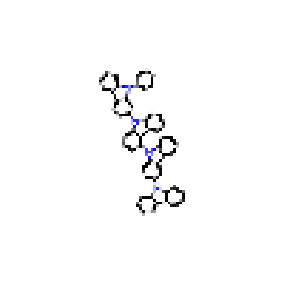 C1=CC2c3ccccc3N(c3ccc4c(c3)c3ccccc3n4-c3cccc4c3c3ccccc3n4-c3ccc4c5ccccc5n(-c5ccccc5)c4c3)C2C=C1